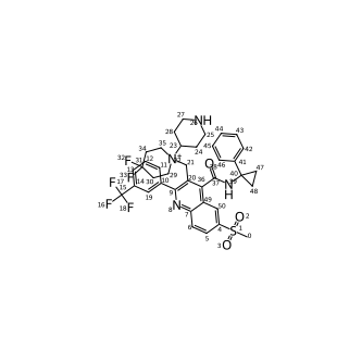 CS(=O)(=O)c1ccc2nc(-c3cccc(C(F)(F)F)c3)c(C[N+]3(C4CCNCC4)CCC(F)(F)CC3)c(C(=O)NC3(c4ccccc4)CC3)c2c1